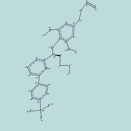 CCCC[C@H](Oc1c(OC)cc(CCC(=O)O)cc1OC)c1cccc(-c2ccc(C(F)(F)F)cc2)n1